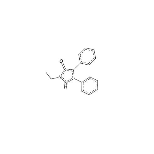 CCn1[nH]c(-c2ccccc2)c(-c2ccccc2)c1=O